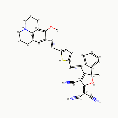 COc1c(/C=C/c2ccc(/C=C/C3=C(C#N)C(=C(C#N)C#N)OC3(C)c3ccccc3)s2)cc2c3c1CCCN3CCC2